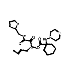 CCCC[C@H](NC(=O)C1(NN2CCOCC2)CCCCC1)C(=O)C(=O)NCC1CCCO1